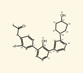 CC(=O)Cc1ccc(-c2cccc(-c3ccnc(N4CCC(O)CC4)c3)c2O)cc1F